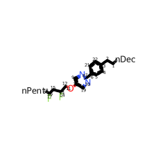 CCCCCCCCCCCCc1ccc(-c2ncc(OCC(F)CC(F)CCCCC)cn2)cc1